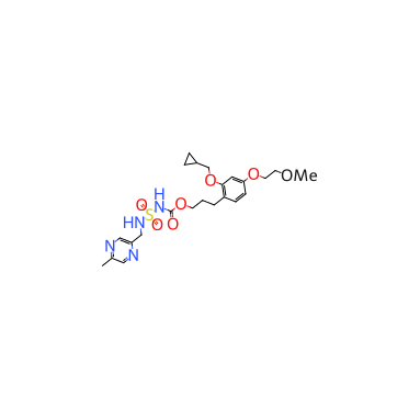 COCCOc1ccc(CCCOC(=O)NS(=O)(=O)NCc2cnc(C)cn2)c(OCC2CC2)c1